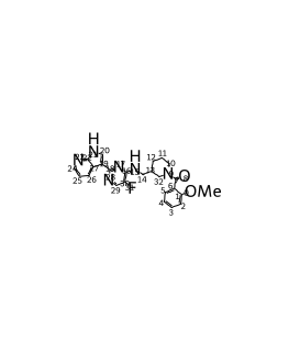 COc1ccccc1C(=O)N1CCC[C@H](CNc2nc(-c3c[nH]c4ncccc34)ncc2F)C1